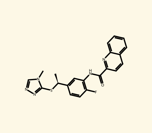 C[C@H](Sc1nncn1C)c1ccc(F)c(NC(=O)c2ccc3ccccc3n2)c1